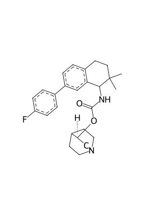 CC1(C)CCc2ccc(-c3ccc(F)cc3)cc2C1NC(=O)O[C@H]1CN2CCC1CC2